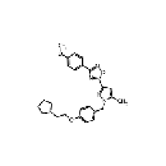 Cc1cc(-c2nc(-c3ccc(OC(F)(F)F)cc3)no2)nn1Cc1ccc(OCCN2CCCC2)cc1